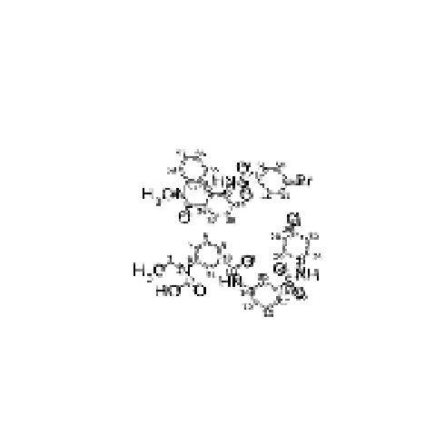 CCN(C(=O)O)c1cccc(C(=O)Nc2cccc(S(=O)(=O)Nc3ccc(Cl)cc3)c2)c1.CN(C(=O)c1cccc(NS(=O)(=O)c2ccc(Br)cc2)c1)c1ccccc1